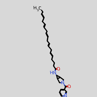 CCC=CCC=CCC=CCC=CCC=CCCCC(=O)NC1C2CN(C(=O)c3cccnc3)CC21